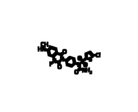 CNc1ccc2c(=O)n(-c3ccc(N(C(N)=O)S(=O)(=O)c4ccc(Cl)s4)cc3)c(=O)n(F)c2c1